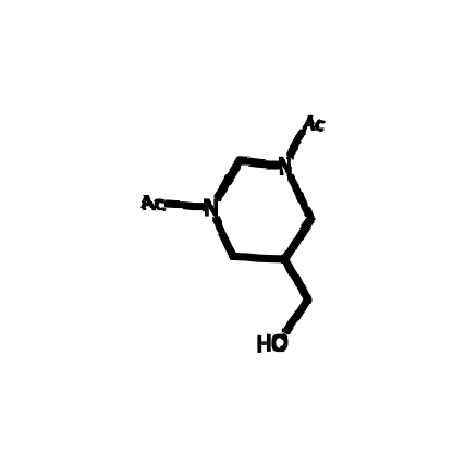 CC(=O)N1CC(CO)CN(C(C)=O)C1